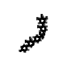 Cc1ccc(-c2ccc(-c3ccc(C(F)(F)Oc4ccc(-c5cc(F)c(F)c(F)c5)c(F)c4)cc3)c(F)c2F)cc1